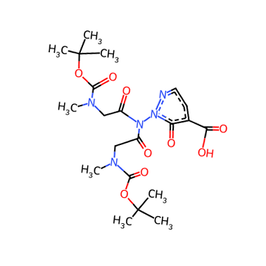 CN(CC(=O)N(C(=O)CN(C)C(=O)OC(C)(C)C)n1nccc(C(=O)O)c1=O)C(=O)OC(C)(C)C